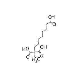 CCC(CCCCCCCC(=O)O)(C(=O)O)C(=O)O